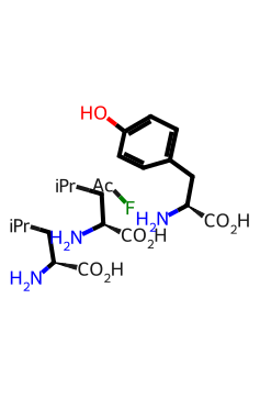 CC(=O)F.CC(C)C[C@H](N)C(=O)O.CC(C)C[C@H](N)C(=O)O.N[C@@H](Cc1ccc(O)cc1)C(=O)O